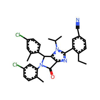 CCc1ccc(C#N)cc1-c1nc2c(n1C(C)C)C(c1ccc(Cl)cc1C)N(c1cc(Cl)ccc1C)C2=O